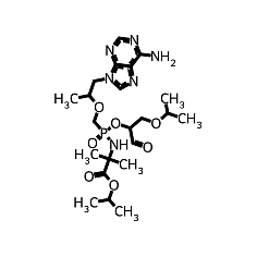 CC(C)OCC(C=O)OP(=O)(COC(C)Cn1cnc2c(N)ncnc21)NC(C)(C)C(=O)OC(C)C